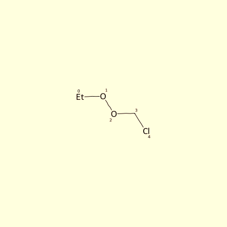 CCOOCCl